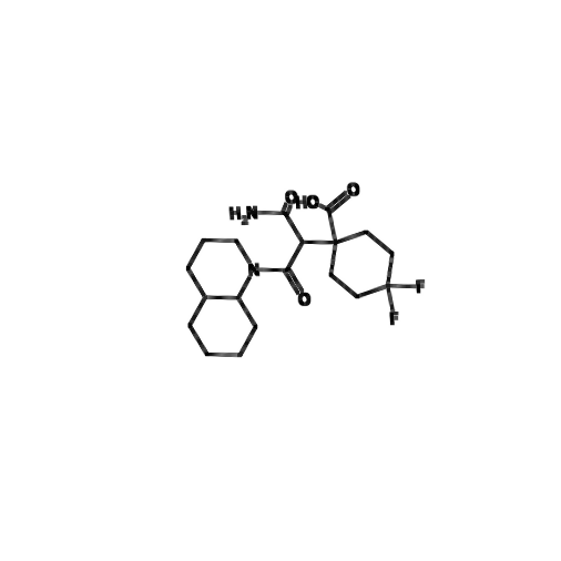 NC(=O)C(C(=O)N1CCCC2CCCCC21)C1(C(=O)O)CCC(F)(F)CC1